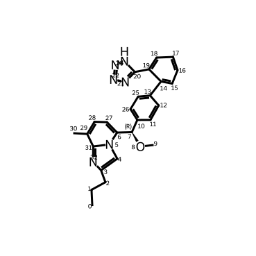 CCCc1cn2c([C@H](OC)c3ccc(-c4ccccc4-c4nnn[nH]4)cc3)ccc(C)c2n1